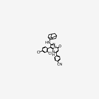 N#Cc1ccc(-c2cc(=O)n3nc(NC4C5CC6CC(C5)CC4C6)c(-c4ccc(Cl)cc4Cl)c3[nH]2)cc1